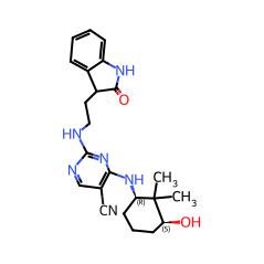 CC1(C)[C@@H](O)CCC[C@H]1Nc1nc(NCCC2C(=O)Nc3ccccc32)ncc1C#N